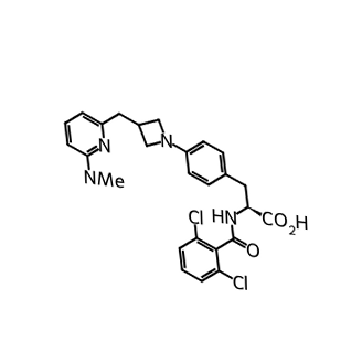 CNc1cccc(CC2CN(c3ccc(C[C@H](NC(=O)c4c(Cl)cccc4Cl)C(=O)O)cc3)C2)n1